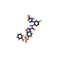 O=C(Nc1ccc(Cl)cc1-c1noc(=O)[nH]1)c1noc2cc(OS(=O)(=O)Cc3ccccc3)ccc12